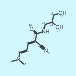 CN(C)/C=C/C=C(\C#N)C(=O)NCC(O)CO